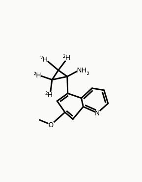 [2H]C1([2H])C([2H])([2H])C1(N)c1cc(OC)cc2ncccc12